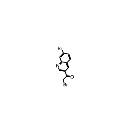 O=C(CBr)c1cnc2cc(Br)ccc2c1